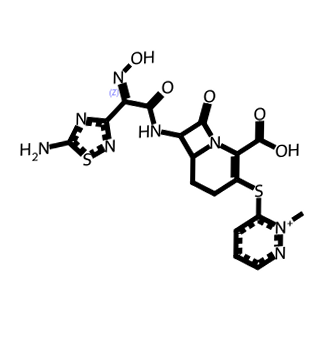 C[n+]1ncccc1SC1=C(C(=O)O)N2C(=O)C(NC(=O)/C(=N\O)c3nsc(N)n3)C2CC1